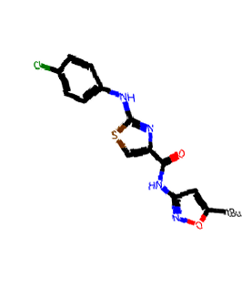 CC(C)(C)c1cc(NC(=O)c2csc(Nc3ccc(Cl)cc3)n2)no1